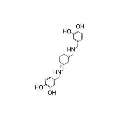 Oc1ccc(CNCC2CCC[C@@H](CNCc3ccc(O)c(O)c3)C2)cc1O